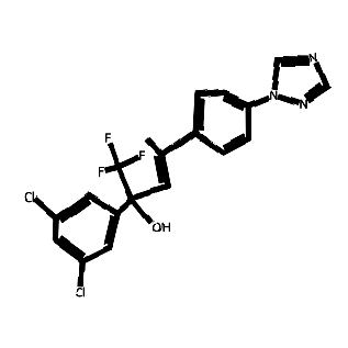 C/C(=C\C(O)(c1cc(Cl)cc(Cl)c1)C(F)(F)F)c1ccc(-n2cncn2)cc1